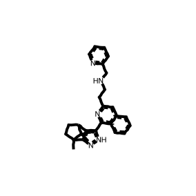 CC12CCC(c3c1n[nH]c3-c1nc(CCNCc3ccccn3)cc3ccccc13)C2(C)C